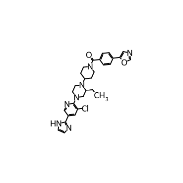 CC[C@H]1CN(c2ncc(-c3ncc[nH]3)cc2Cl)CCN1C1CCN(C(=O)c2ccc(-c3cnco3)cc2)CC1